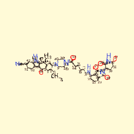 CCc1cc2c(cc1N1CCN(C(=O)CCCCCNc3cccc4c3C(=O)N(C3CCC(=O)NC3=O)C4=O)CC1)C(C)(C)c1[nH]c3cc(C#N)ccc3c1C2=O